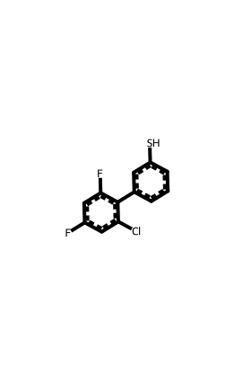 Fc1cc(F)c(-c2cccc(S)c2)c(Cl)c1